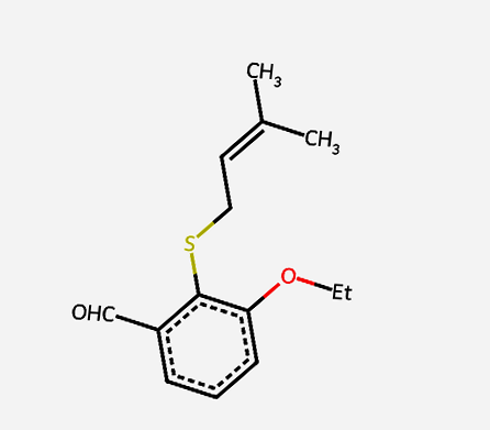 CCOc1cccc(C=O)c1SCC=C(C)C